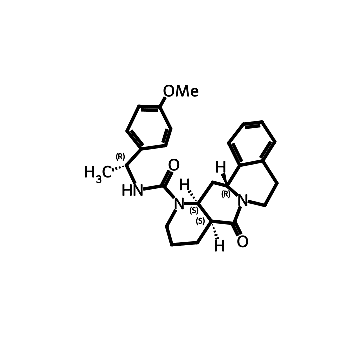 COc1ccc([C@@H](C)NC(=O)N2CCC[C@@H]3C(=O)N4CCc5ccccc5[C@H]4C[C@@H]32)cc1